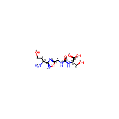 N[C@@H](CCO)c1noc(CNC(=O)N[C@@H](CO)C(=O)O)n1